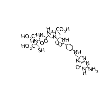 Nc1nc2ncc(CNc3ccc(C(=O)N[C@H](CCC(=O)O)C(=O)NC[C@H](N)C(=O)N[C@@H](CC(=O)O)C(=O)N[C@@H](CS)C(=O)O)cc3)nc2c(=O)[nH]1